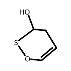 OC1CC=COS1